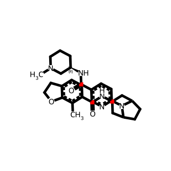 Cc1c(C(=O)NC2CC3CCC(C2)N3c2ccc(C(=O)N[C@@H]3CCCN(C)C3)cn2)ccc2c1OCC2